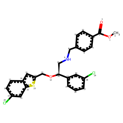 COC(=O)c1ccc(CNC[C@H](OCc2cc3ccc(Cl)cc3s2)c2cccc(Cl)c2)cc1